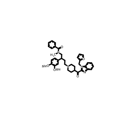 COc1ccc(C(CCN2CCC(C(=O)c3nc4ccccc4n3Cc3ccco3)CC2)CN(C)C(=O)c2ccccc2)cc1OC